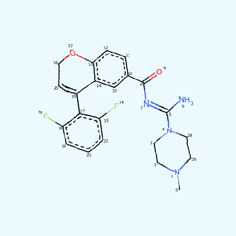 CN1CCN(/C(N)=N/C(=O)c2ccc3c(c2)C(c2c(F)cccc2F)=CCO3)CC1